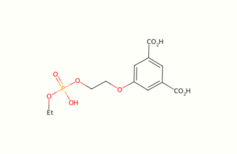 CCOP(=O)(O)OCCOc1cc(C(=O)O)cc(C(=O)O)c1